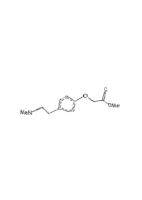 CNCCc1ccc(OCC(=O)OC)cc1